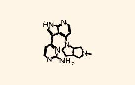 CN1CC2CCN(c3ccnc4[nH]cc(-c5ccnc(N)n5)c34)C2C1